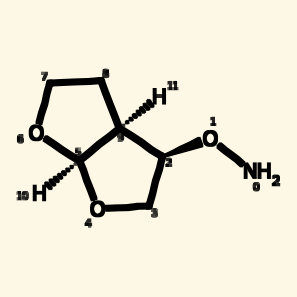 NO[C@H]1CO[C@H]2OCC[C@H]21